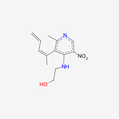 C=C/C=C(/C)c1c(C)ncc([N+](=O)[O-])c1NCCO